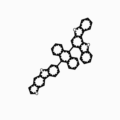 c1ccc2c(c1)oc1c2c(-c2c3ccccc3c(-c3ccc4c(c3)oc3cc5ccoc5cc34)c3ccccc23)cc2oc3ccccc3c21